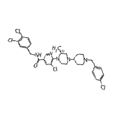 C[C@H]1CN(C2CCN(Cc3ccc(Cl)cc3)CC2)CCN1c1ncc(C(=O)NCc2ccc(Cl)c(Cl)c2)cc1Cl